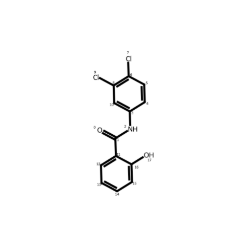 O=C(Nc1ccc(Cl)c(Cl)c1)c1c[c]ccc1O